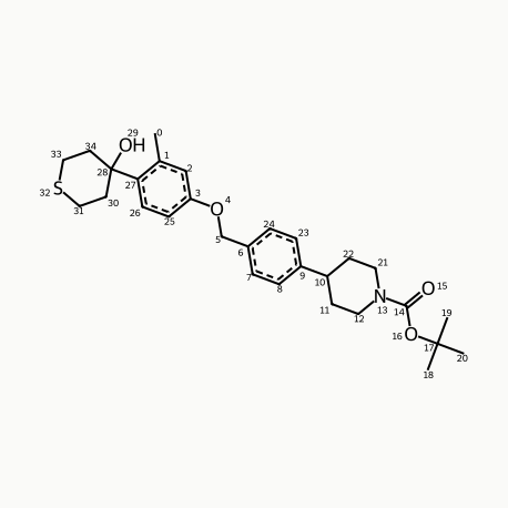 Cc1cc(OCc2ccc(C3CCN(C(=O)OC(C)(C)C)CC3)cc2)ccc1C1(O)CCSCC1